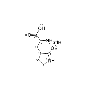 Cl.NC(CC1CCNC1=O)C(=O)O